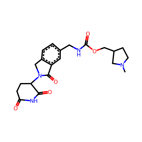 CN1CCC(COC(=O)NCc2ccc3c(c2)C(=O)N(C2CCC(=O)NC2=O)C3)C1